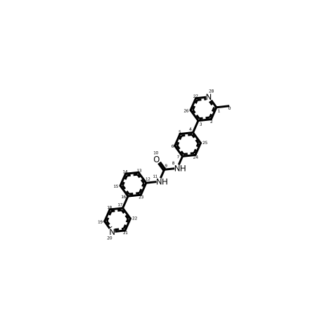 Cc1cc(-c2ccc(NC(=O)Nc3cccc(-c4ccncc4)c3)cc2)ccn1